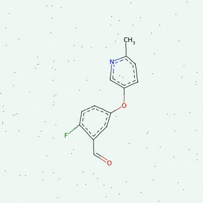 Cc1ccc(Oc2ccc(F)c(C=O)c2)cn1